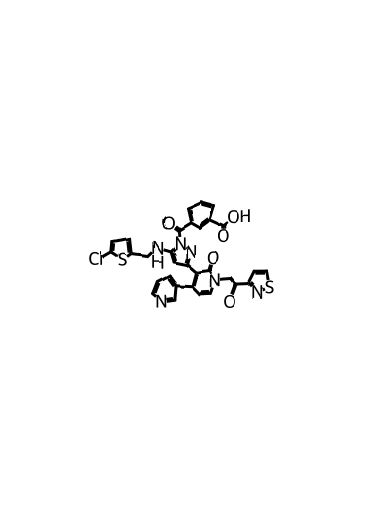 O=C(O)c1cccc(C(=O)n2nc(-c3c(-c4cccnc4)ccn(CC(=O)c4ccsn4)c3=O)cc2NCc2ccc(Cl)s2)c1